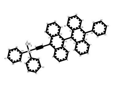 C[Si](C#Cc1c2ccccc2c(-c2c3ccccc3c(-c3ccccc3)c3ccccc23)c2ccccc12)(c1ccccc1)c1ccccc1